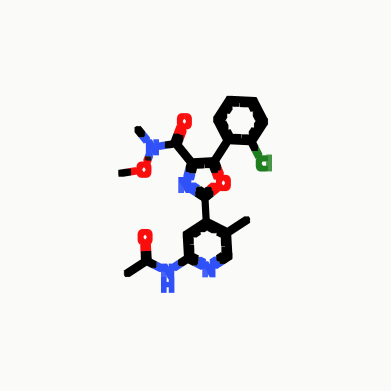 CON(C)C(=O)c1nc(-c2cc(NC(C)=O)ncc2C)oc1-c1ccccc1Cl